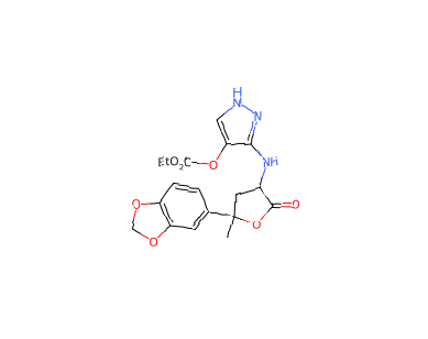 CCOC(=O)Oc1c[nH]nc1NC1CC(C)(c2ccc3c(c2)OCO3)OC1=O